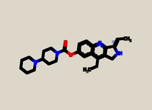 C/C=C1\NCc2c1nc1ccc(OC(=O)N3CCC(N4CCCCC4)CC3)cc1c2CC